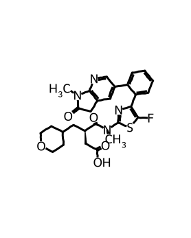 CN(C(=O)[C@@H](CC(=O)O)CC1CCOCC1)c1nc(-c2ccccc2-c2cnc3c(c2)CC(=O)N3C)c(F)s1